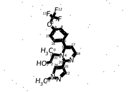 C[C@@H](CO)N1C(c2ccc(OC(F)(F)F)cc2)=CC=NC1c1cnn(C)c1